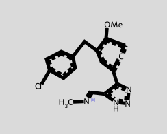 C/N=C/c1[nH]nnc1-c1ccc(OC)c(Cc2ccc(Cl)cc2)c1